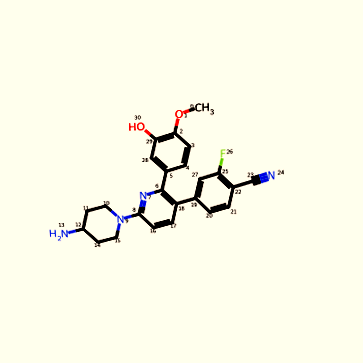 COc1ccc(-c2nc(N3CCC(N)CC3)ccc2-c2ccc(C#N)c(F)c2)cc1O